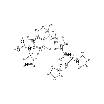 Cc1c(C)c(N(C(=O)O)n2ccnc2)c(C)c2c1OC(C)(CN1CCN(c3cc(N4CCCC4)nc(N4CCCC4)n3)CC1)CC2